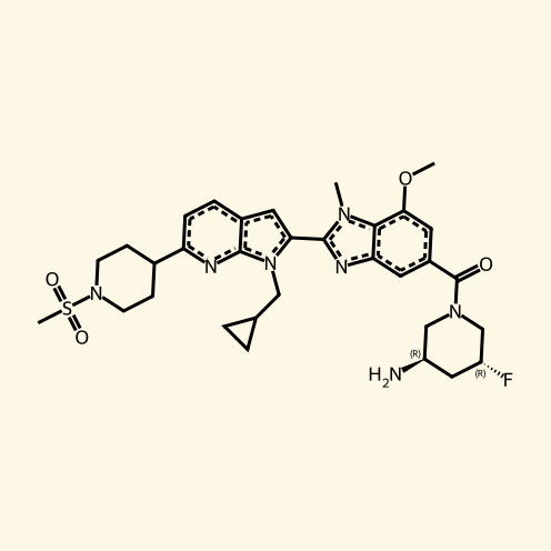 COc1cc(C(=O)N2C[C@H](N)C[C@@H](F)C2)cc2nc(-c3cc4ccc(C5CCN(S(C)(=O)=O)CC5)nc4n3CC3CC3)n(C)c12